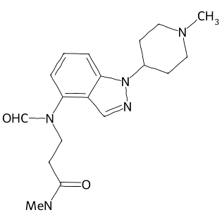 CNC(=O)CCN(C=O)c1cccc2c1cnn2C1CCN(C)CC1